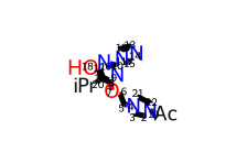 CC(=O)N1CCN(CCOc2nc(-n3ccnc3)nc(O)c2C(C)C)CC1